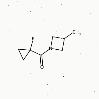 CC1CN(C(=O)C2(F)CC2)C1